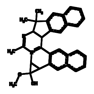 COC1(O)C2c3cc4ccccc4cc3C3=[N+](C(C)=NC4C3c3cc5ccccc5cc3C4(C)C)C21